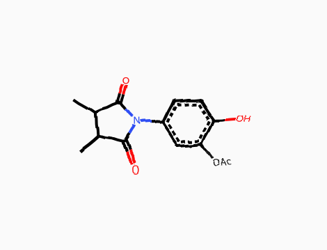 CC(=O)Oc1cc(N2C(=O)C(C)C(C)C2=O)ccc1O